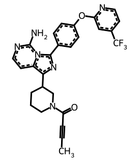 CC#CC(=O)N1CCCC(c2nc(-c3ccc(Oc4cc(C(F)(F)F)ccn4)cc3)n3c(N)nccc23)C1